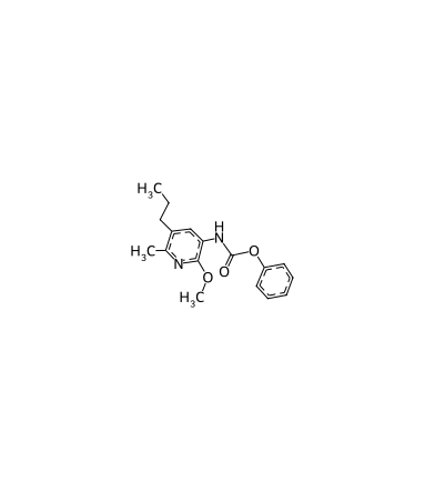 CCCc1cc(NC(=O)Oc2ccccc2)c(OC)nc1C